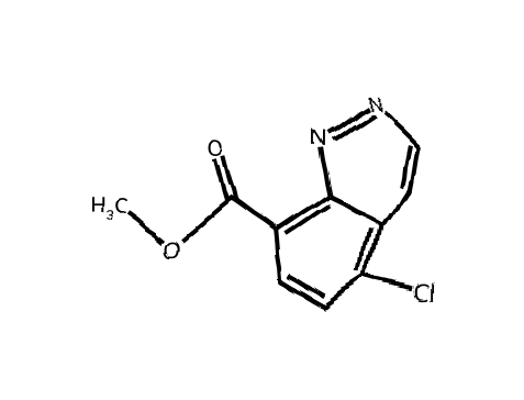 COC(=O)c1ccc(Cl)c2ccnnc12